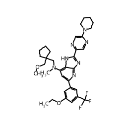 CCOc1cc(-c2cc(N(C)CC3(COC)CCCC3)c3[nH]c(-c4cnc(N5CCCCC5)cn4)nc3n2)cc(C(F)(F)F)c1